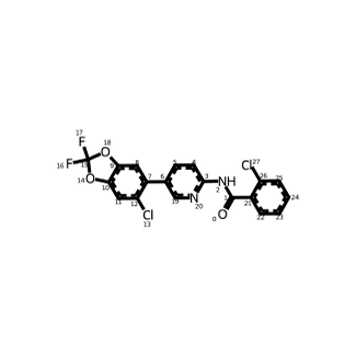 O=C(Nc1ccc(-c2cc3c(cc2Cl)OC(F)(F)O3)cn1)c1ccccc1Cl